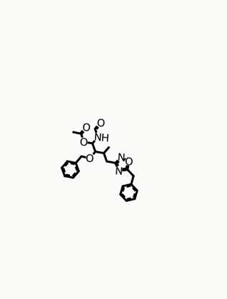 CC(=O)OC(NC=O)C(OCc1ccccc1)C(C)Cc1noc(Cc2ccccc2)n1